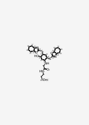 CCCCCCCCCCCCNC(=O)CNc1cc(O)c(Sc2nc3ccccc3o2)cc1Sc1nc2ccccc2o1